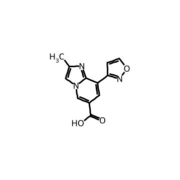 Cc1cn2cc(C(=O)O)cc(-c3ccon3)c2n1